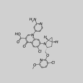 COc1ccc(Cl)c(OC[C@H]2C[C@H]3C[C@H]3N2c2cc3c(cc2Cl)c(=O)c(C(=O)O)cn3-c2ccnc(N)c2)n1